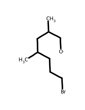 CC(C[O])CC(C)CCCBr